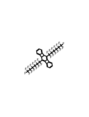 FC(F)(F)C(F)(F)C(F)(F)C(F)(F)C(F)(F)C(F)(F)C1=C2C(=C(C(F)(F)C(F)(F)C(F)(F)C(F)(F)C(F)(F)C(F)(F)F)C3c4ccccc4C13)c1ccccc12